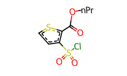 CCCOC(=O)c1sccc1S(=O)(=O)Cl